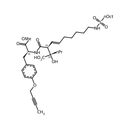 CC#CCOc1ccc(C[C@H](NC(=O)[C@@H](C=CCCCCCNS(=O)(=O)CCCCCCCC)[C@@](O)(CCC)C(=O)O)C(=O)OC)cc1